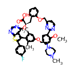 COc1ccccc1-c1nccc(COc2ccccc2C[C@@H](Oc2ncnc3sc(-c4ccc(F)cc4)c(-c4c(C)cc(OCCN5CCN(C)CC5)cc4C)c23)C(=O)O)n1